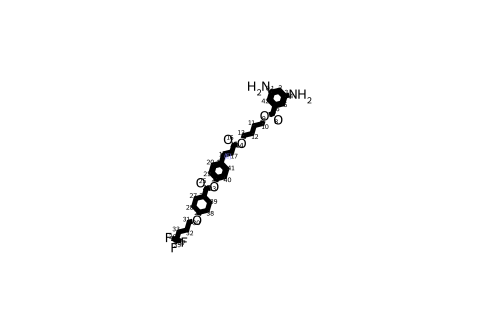 Nc1cc(N)cc(C(=O)OCCCCOC(=O)/C=C/c2ccc(OC(=O)C3CCC(OCCCC(F)(F)F)CC3)cc2)c1